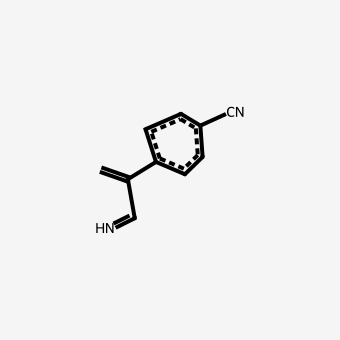 C=C(C=N)c1ccc(C#N)cc1